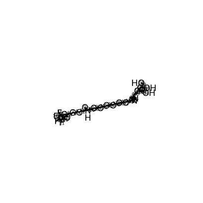 O=C(CCOCCOCCC(=O)Oc1c(F)c(F)c(F)c(F)c1F)NCCOCCOCCOCCOCCOCCOCCn1cc(CCO[C@H]2C[C@@H](O)[C@@H](O)[C@@H](CO)O2)nn1